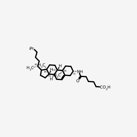 CC(C)CCC[C@@H](C)C1CC[C@H]2[C@@H]3CC=C4C[C@@H](NC(=O)CCCCC(=O)O)CC[C@]4(C)[C@H]3CC[C@]12C